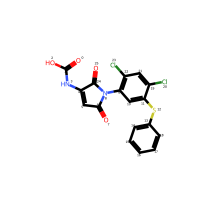 O=C(O)NC1=CC(=O)N(c2cc(Sc3ccccc3)c(Cl)cc2Cl)C1=O